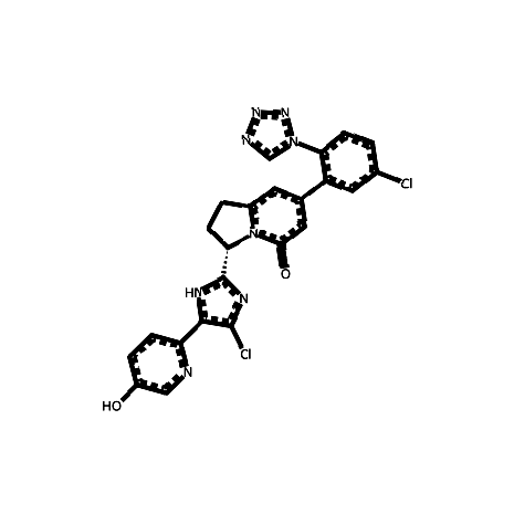 O=c1cc(-c2cc(Cl)ccc2-n2cnnn2)cc2n1[C@H](c1nc(Cl)c(-c3ccc(O)cn3)[nH]1)CC2